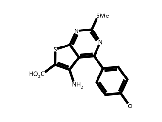 CSc1nc(-c2ccc(Cl)cc2)c2c(N)c(C(=O)O)sc2n1